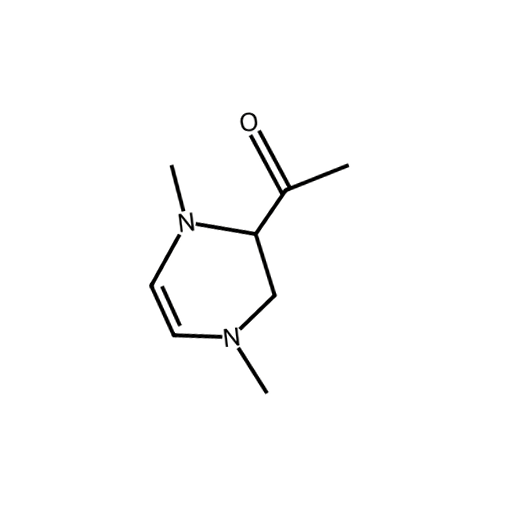 CC(=O)C1CN(C)C=CN1C